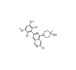 COc1cc(OC)c(Cl)c(-c2cc3cnc(Cl)cc3c(N3CCC(C)(O)CC3)n2)c1Cl